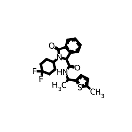 Cc1ccc(C(C)NC(=O)C2c3ccccc3C(=O)N2C2CCC(F)(F)CC2)s1